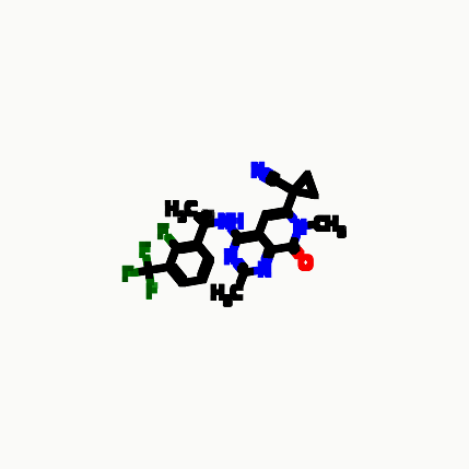 Cc1nc(N[C@H](C)c2cccc(C(F)(F)F)c2F)c2cc(C3(C#N)CC3)n(C)c(=O)c2n1